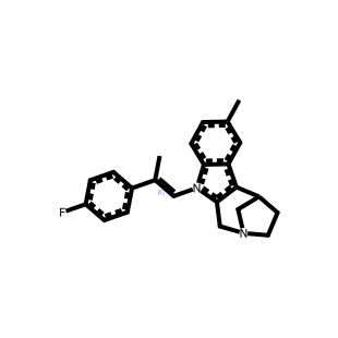 C/C(=C\n1c2c(c3cc(C)ccc31)C1CCN(C2)C1)c1ccc(F)cc1